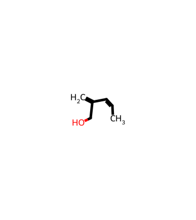 C=C(/C=C\C)CO